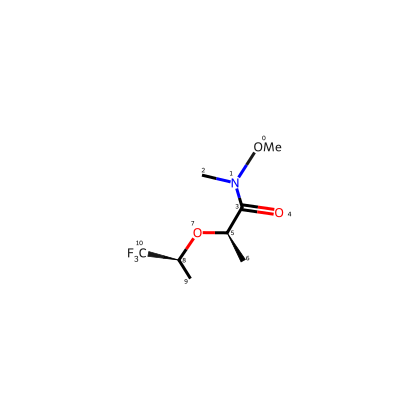 CON(C)C(=O)[C@@H](C)O[C@@H](C)C(F)(F)F